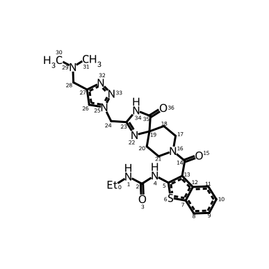 CCNC(=O)Nc1sc2ccccc2c1C(=O)N1CCC2(CC1)N=C(Cn1cc(CN(C)C)nn1)NC2=O